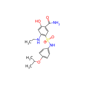 CCNc1cc(O)c(C(N)=O)cc1S(=O)(=O)Nc1ccc(OC(C)C)cc1